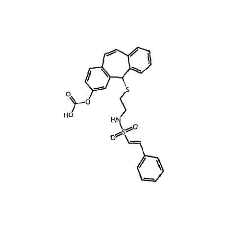 O=C(O)Oc1ccc2c(c1)C(SCCNS(=O)(=O)C=Cc1ccccc1)c1ccccc1C=C2